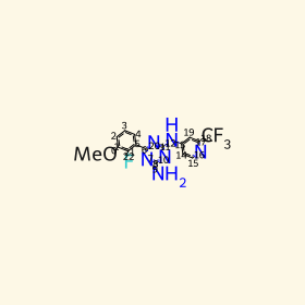 COc1cccc(-c2nc(N)nc(Nc3ccnc(C(F)(F)F)c3)n2)c1F